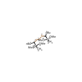 CCCCC(SSSC(CCCC)[Si](C)(OC)OC)[Si](C)(OC)OC